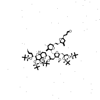 C=C1C[C@H](CCC=O)O[C@H]1CC[C@H]1C[C@@H](C)C(=C)[C@@H](C[C@@H]2O[C@H](C[C@@H](CO[Si](C)(C)C(C)(C)C)O[Si](C)(C)C(C)(C)C)[C@H](OC)[C@H]2CC(=O)C[C@H]2CC[C@@H]3O[C@@H](C(/C=C/I)O[Si](C)(C)C(C)(C)C)C(O[Si](C)(C)C(C)(C)C)C(O[Si](C)(C)C(C)(C)C)[C@H]3O2)O1